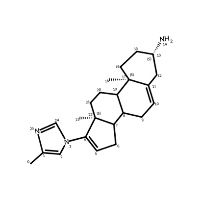 Cc1cn(C2=CCC3C4CC=C5C[C@@H](N)CC[C@]5(C)C4CC[C@]23C)cn1